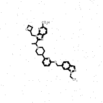 CC(c1nc2ccc(C(=O)O)nc2n1CC1CCO1)N1CCC(c2cccc(OCc3ccc4cnn(CC(F)(F)F)c4c3)n2)CC1